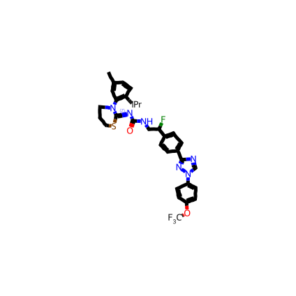 Cc1ccc(C(C)C)c(N2CCCS/C2=N\C(=O)NCC(F)c2ccc(-c3ncn(-c4ccc(OC(F)(F)F)cc4)n3)cc2)c1